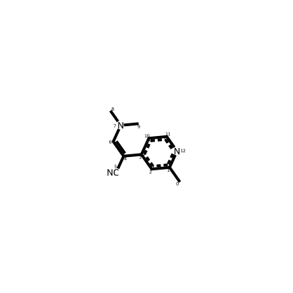 Cc1cc(/C(C#N)=C\N(C)C)ccn1